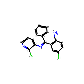 Nc1ccc(Cl)cc1C(=Nc1cccnc1Cl)c1ccccc1